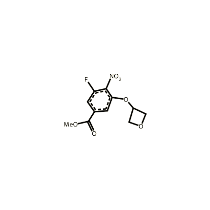 COC(=O)c1cc(F)c([N+](=O)[O-])c(OC2COC2)c1